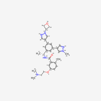 Cc1ccc(OCCN(C)C)cc1C(=O)N[C@H](C)c1cc(-c2cnn(C)c2)cc(-c2cnn(C3COC3)c2)c1